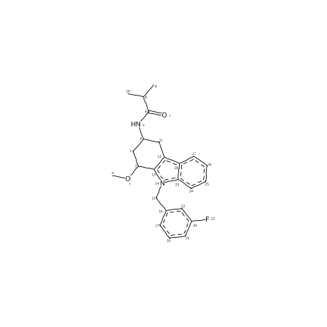 COC1CC(NC(=O)C(C)C)Cc2c1n(Cc1cccc(F)c1)c1ccccc21